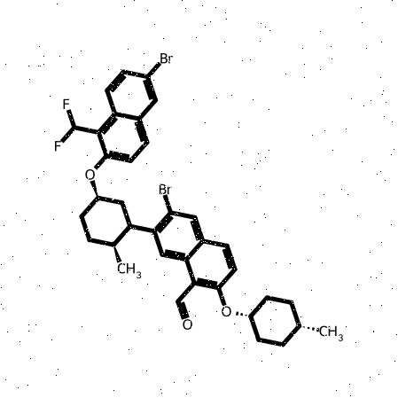 C[C@H]1CC[C@@H](Oc2ccc3cc(Br)ccc3c2C(F)F)CC1c1cc2c(C=O)c(O[C@H]3CC[C@@H](C)CC3)ccc2cc1Br